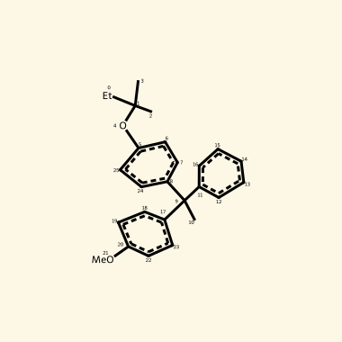 CCC(C)(C)Oc1ccc(C(C)(c2ccccc2)c2ccc(OC)cc2)cc1